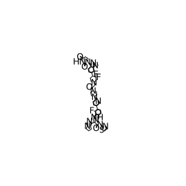 Cn1nc(N2CCC(=O)NC2=O)c2ccc(C3CCN(CC(=O)N4CCN(c5ccc(-c6ccc7cn(C(C(=O)Nc8nccs8)c8ncn9c8CCC9)nc7c6F)cn5)CC4)CC3(F)F)cc21